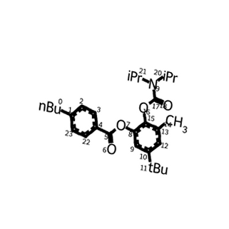 CCCCc1ccc(C(=O)Oc2cc(C(C)(C)C)cc(C)c2OC(=O)N(C(C)C)C(C)C)cc1